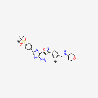 [2H]c1cc(-c2cc(-c3nc(-c4ccc(S(=O)(=O)C([2H])(C)C)cc4)cnc3N)on2)ccc1CNC1CCOCC1